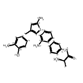 CC(N)C(N)=O.Cc1csc(N)c1.Nc1ccccc1.Nc1ccccc1Cl.[c]1ccccc1